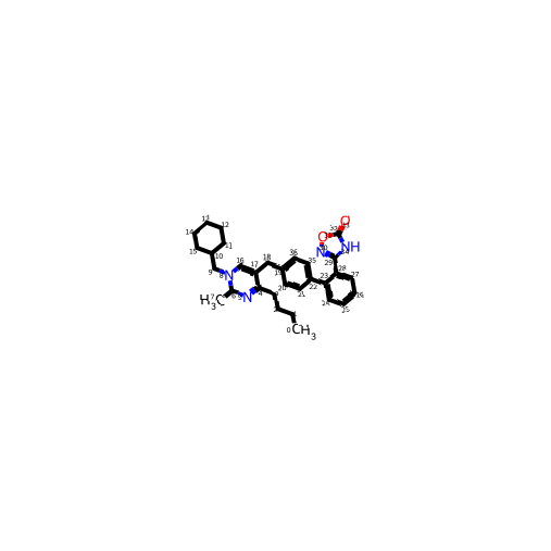 CCCCC1=NC(C)N(CC2CCCCC2)C=C1Cc1ccc(-c2ccccc2-c2noc(=O)[nH]2)cc1